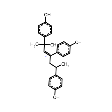 CC(C/C(=C/C(C)(C)c1ccc(O)cc1)c1ccc(O)cc1)c1ccc(O)cc1